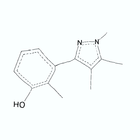 Cc1c(O)cccc1-c1nn(C)c(C)c1C